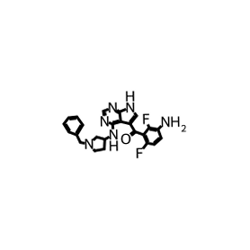 Nc1ccc(F)c(C(=O)c2c[nH]c3ncnc(NC4CCN(Cc5ccccc5)C4)c23)c1F